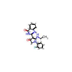 CCNC1=C(c2nc3ccccc3c(=O)[nH]2)C(=O)CN1c1ccccc1F